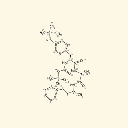 CC(CCc1ccccc1)NC(=O)[C@@H](C)NC(=O)[C@H](Cc1ccc(OC(C)(C)C)cc1)NC(=O)OC(C)(C)C